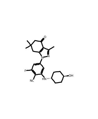 Cc1nn(-c2cc(F)c(C#N)c(N[C@H]3CC[C@H](O)CC3)c2)c2c1C(=O)CC(C)(C)C2